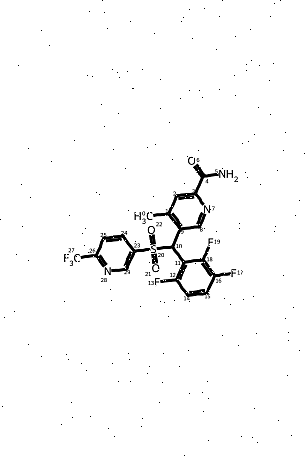 Cc1cc(C(N)=O)ncc1C(c1c(F)ccc(F)c1F)S(=O)(=O)c1ccc(C(F)(F)F)nc1